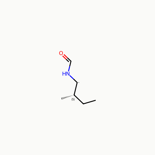 CC[C@H](C)[CH]NC=O